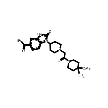 COC1(C)CCN(C(=O)CN2CCC(n3c(=O)[nH]c4cc(C(=O)C(C)C)ccc43)CC2)CC1